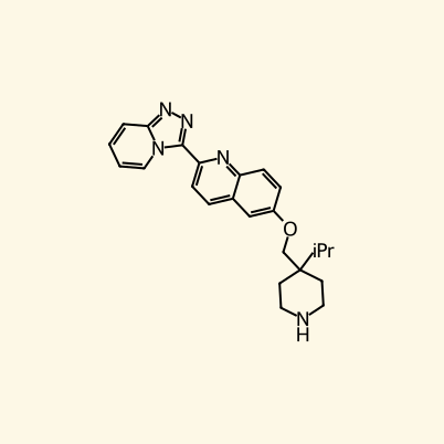 CC(C)C1(COc2ccc3nc(-c4nnc5ccccn45)ccc3c2)CCNCC1